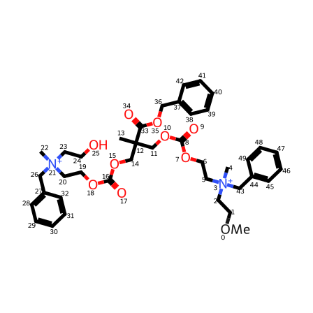 COCC[N+](C)(CCOC(=O)OCC(C)(COC(=O)OCC[N+](C)(CCO)Cc1ccccc1)C(=O)OCc1ccccc1)Cc1ccccc1